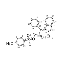 Cc1ccc(S(=O)(=O)OCC(O)C(c2ccccc2)n2c(C)cc3ccccc32)cc1